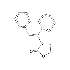 O=C1OCCN1C(=Cc1ccccc1)c1ccccc1